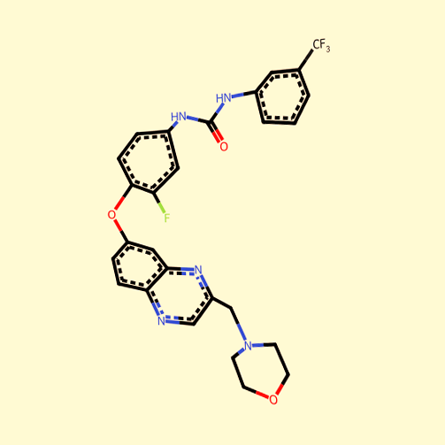 O=C(Nc1cccc(C(F)(F)F)c1)Nc1ccc(Oc2ccc3ncc(CN4CCOCC4)nc3c2)c(F)c1